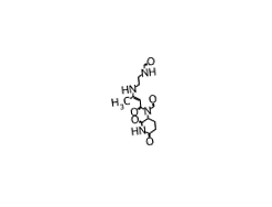 C/C(=C\C(=O)N(C=O)C1CCC(=O)NC1=O)NCCNC=O